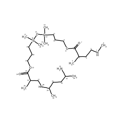 CNCCC(C)C(=O)OCCC[Si](C)(C)O[Si](C)(C)CCCOC(=O)C(C)CNC(C)CCC(C)N